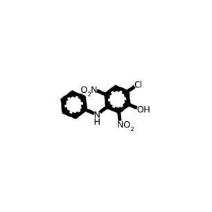 O=[N+]([O-])c1cc(Cl)c(O)c([N+](=O)[O-])c1Nc1ccccc1